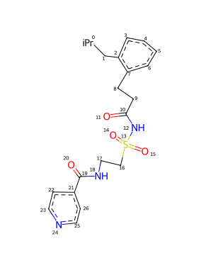 CC(C)Cc1ccccc1CCC(=O)NS(=O)(=O)CCNC(=O)c1ccncc1